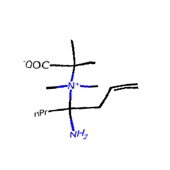 C=CCC(N)(CCC)[N+](C)(C)C(C)(C)C(=O)[O-]